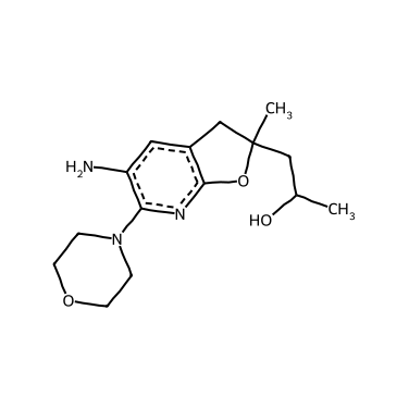 CC(O)CC1(C)Cc2cc(N)c(N3CCOCC3)nc2O1